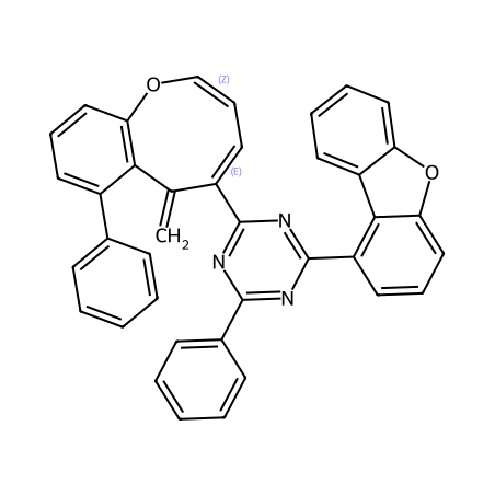 C=C1/C(c2nc(-c3ccccc3)nc(-c3cccc4oc5ccccc5c34)n2)=C\C=C/Oc2cccc(-c3ccccc3)c21